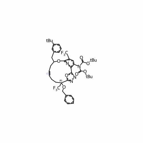 CC(C)(C)OC(=O)N(C(=O)OC(C)(C)C)c1cc(C(F)(F)F)c2nc1-c1nnc(o1)[C@@](OCc1ccccc1)(C(F)(F)F)CC/C=C\CC(Cc1cccc(C(C)(C)C)c1)O2